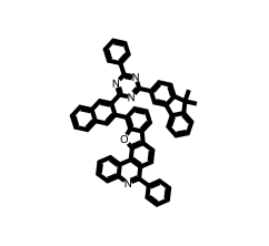 CC1(C)c2ccccc2-c2cc(-c3nc(-c4ccccc4)nc(-c4cc5ccccc5cc4-c4cccc5c4oc4c5ccc5c(-c6ccccc6)nc6ccccc6c54)n3)ccc21